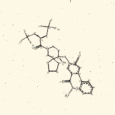 CN(C)C(=O)c1cn(C[C@@]2(O)CCN(C(=O)C(CC(F)(F)F)CC(F)(F)F)CC23CCCC3)c(=O)cc1-c1ccccc1